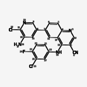 N#Cc1cnc2ccc(-c3cnc(Cl)c(N)c3)cc2c1Nc1ccc(F)c(Cl)c1